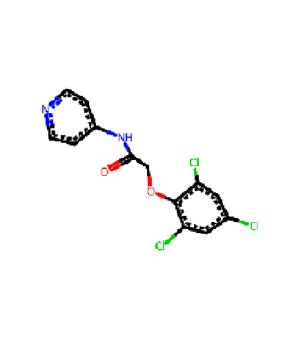 O=C(COc1c(Cl)cc(Cl)cc1Cl)Nc1ccncc1